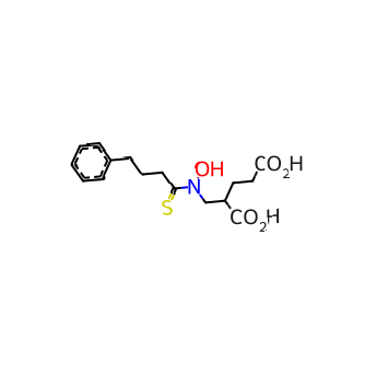 O=C(O)CCC(CN(O)C(=S)CCCc1ccccc1)C(=O)O